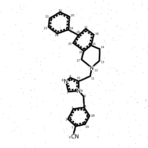 N#Cc1ccc(Cn2cncc2CN2CCc3ccc(-c4ccccc4)cc3C2)cc1